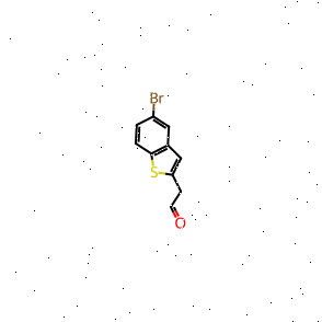 O=CCc1cc2cc(Br)ccc2s1